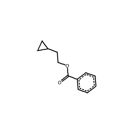 O=C(OCCC1[CH]C1)c1ccccc1